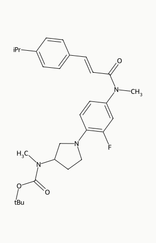 CC(C)c1ccc(/C=C/C(=O)N(C)c2ccc(N3CCC(N(C)C(=O)OC(C)(C)C)C3)c(F)c2)cc1